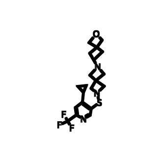 FC(F)(F)c1cc(C2CC2)c(SN2CC3(C2)CN(C2CC4(COC4)C2)C3)cn1